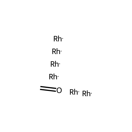 C=O.[Rh].[Rh].[Rh].[Rh].[Rh].[Rh]